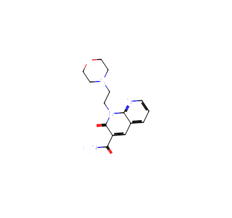 NC(=O)c1cc2cccnc2n(CCN2CCOCC2)c1=O